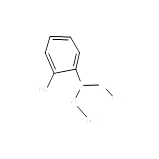 CCCCc1ccccc1[SiH](OCCC)OCCC